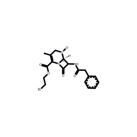 CC1=C(C(=O)OCCBr)N2C(=O)C(NC(=O)Cc3ccccc3)[C@@H]2[S+]([O-])C1